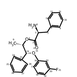 C[C@H](OC(=O)[C@@H](N)Cc1ccccc1)[C@H](Oc1cccc(F)c1)c1ccccc1